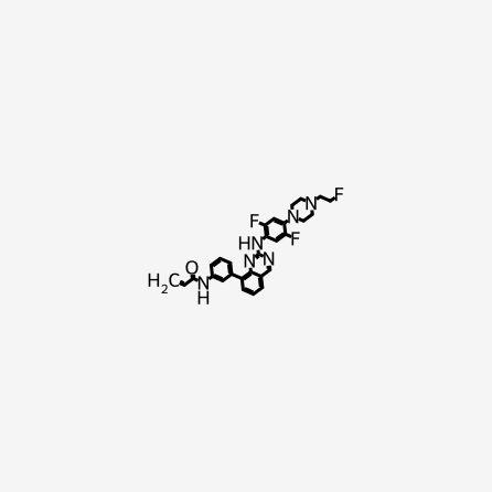 C=CC(=O)Nc1cccc(-c2cccc3cnc(Nc4cc(F)c(N5CCN(CCF)CC5)cc4F)nc23)c1